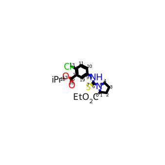 CCOC(=O)C1CCCN1C(=S)Nc1ccc(Cl)c(C(=O)OC(C)C)c1